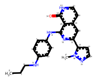 CCCNc1ccc(Nc2nc(-c3ccnn3C)cc3cc[nH]c(=O)c23)cc1